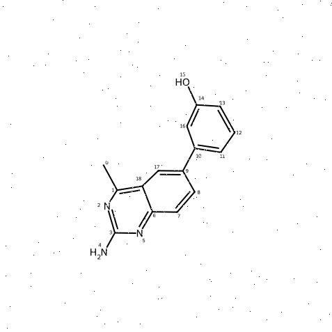 Cc1nc(N)nc2ccc(-c3cccc(O)c3)cc12